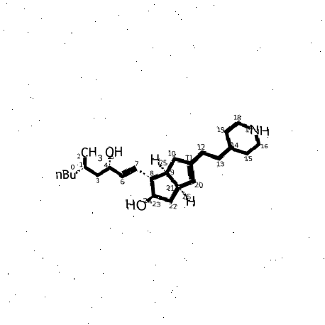 CCCC[C@H](C)C[C@H](O)/C=C/[C@@H]1[C@H]2CC(CCC3CCNCC3)=C[C@H]2C[C@H]1O